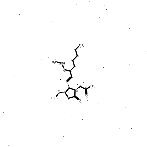 CCCCC[C@@H](/C=C/[C@H]1[C@H](OP)CC(=O)[C@@H]1CC(C)=O)OPP